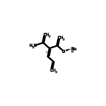 C=C/C=C(/C(=C)N)C(=C)O[C@@H](C)CC